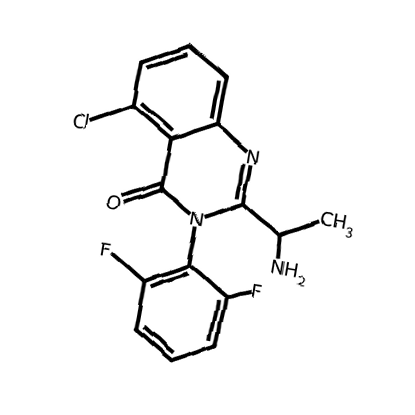 CC(N)c1nc2cccc(Cl)c2c(=O)n1-c1c(F)cccc1F